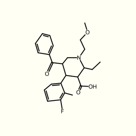 CCC1C(C(=O)O)C(c2cccc(F)c2C)C(C(=O)c2ccccc2)CN1CCOC